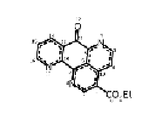 CCOC(=O)c1cnc2c3c(nccc13)C(=O)c1cccnc1-2